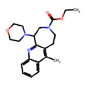 CCOC(=O)N1CCc2c(nc3ccccc3c2C)C(N2CCOCC2)C1